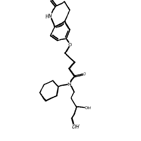 O=C1CCc2cc(OCCCC(=O)N(CCC(O)CO)C3CCCCC3)ccc2N1